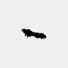 CCOc1ccc(/C=C/CCc2ccc(-c3ccc(CC)cc3)cc2)c(C(F)F)c1F